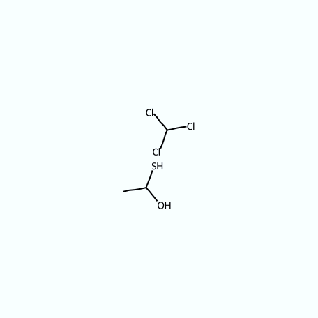 CC(O)S.ClC(Cl)Cl